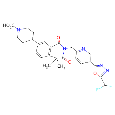 CC1(C)C(=O)N(Cc2ccc(-c3nnc(C(F)F)o3)cn2)C(=O)c2cc(C3CCN(C(=O)O)CC3)ccc21